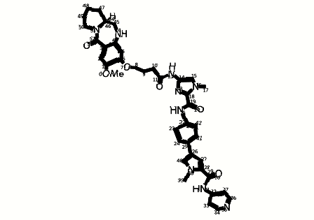 COc1cc2c(cc1OCCCC(=O)Nc1cn(C)c(C(=O)Nc3ccc(-c4cc(C(=O)Nc5ccncc5)n(C)c4)cc3)n1)NC[C@@H]1CCCCN1C2=O